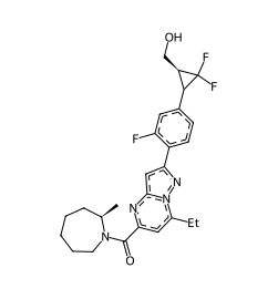 CCc1cc(C(=O)N2CCCCC[C@H]2C)nc2cc(-c3ccc(C4[C@@H](CO)C4(F)F)cc3F)nn12